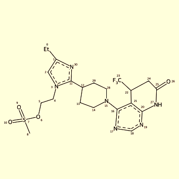 CCc1cn(CCOS(C)(=O)=O)c(C2CCN(c3ncnc4c3C(C(F)(F)F)CC(=O)N4)CC2)n1